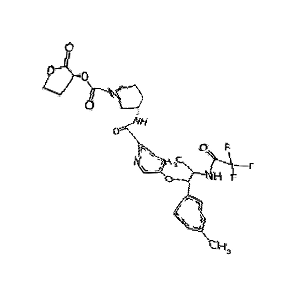 Cc1ccc(C(Oc2ccc(C(=O)N[C@H]3CCCN(C(=O)O[C@H]4CCOC4=O)C3)nc2)C(C)NC(=O)C(F)(F)F)cc1